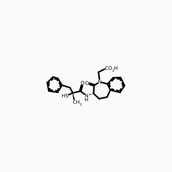 C[C@@](S)(Cc1ccccc1)C(=O)N[C@H]1CCc2ccccc2N(CC(=O)O)C1=O